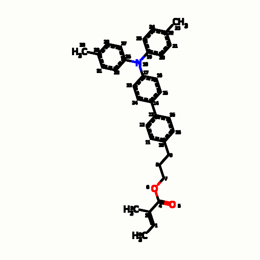 C/C=C(\C)C(=O)OCCCc1ccc(-c2ccc(N(c3ccc(C)cc3)c3ccc(C)cc3)cc2)cc1